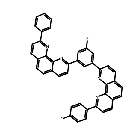 Fc1ccc(-c2ccc3ccc4ccc(-c5cc(F)cc(-c6ccc7ccc8ccc(-c9ccccc9)nc8c7n6)c5)nc4c3n2)cc1